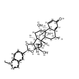 Cn1ncc2cc([C@@H]3O[C@@H]4C[C@H]5[C@@H]6C[C@H](F)C7=CC(=O)C=C[C@]7(C)[C@@]6(F)[C@@H](O)C[C@]5(C)[C@]4(C(=O)CO)O3)ccc21